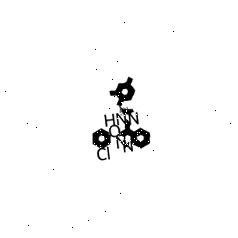 Cc1ccc(C[C@@H]2CN=C(c3c(Oc4cccc(Cl)c4)nnc4ccccc34)N2)c(C)c1